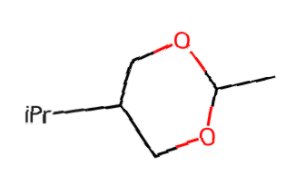 CC1OCC(C(C)C)CO1